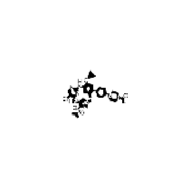 CC(=O)N1CCN([C@H]2CC[C@@H](c3cc(OC4CC4)c(Nc4ncc(Cl)c(Nc5cn(C)nc5S(=O)(=O)C(C)C)n4)cc3C)CC2)CC1